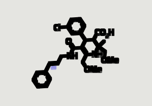 COCC1=C(C(=O)NC/C=C/c2ccccc2)C(c2cccc(Cl)c2)C(C(=O)O)C(C)(COC)N1